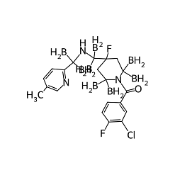 BC(B)(NC(B)(B)C1(F)CC(B)(B)N(C(=O)c2ccc(F)c(Cl)c2)C(B)(B)C1)c1ccc(C)cn1